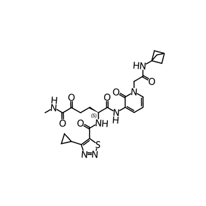 CNC(=O)C(=O)CC[C@H](NC(=O)c1snnc1C1CC1)C(=O)Nc1cccn(CC(=O)NC23CC(C2)C3)c1=O